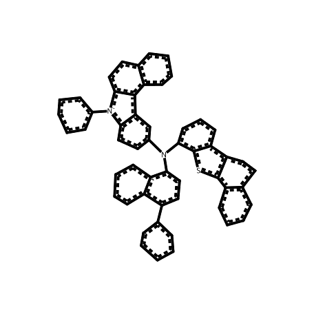 c1ccc(-c2ccc(N(c3ccc4c(c3)c3c5ccccc5ccc3n4-c3ccccc3)c3cccc4c3sc3c5ccccc5ccc43)c3ccccc23)cc1